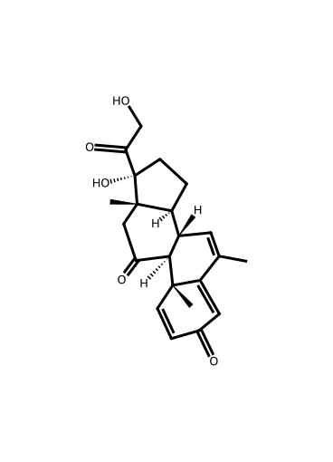 CC1=C[C@@H]2[C@H](C(=O)C[C@@]3(C)[C@H]2CC[C@]3(O)C(=O)CO)[C@@]2(C)C=CC(=O)C=C12